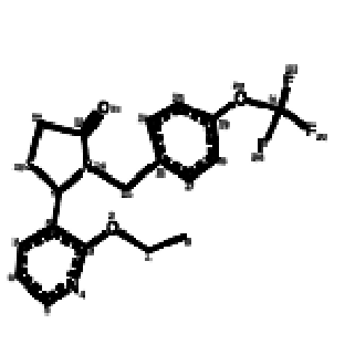 CCOc1ncccc1C1SCC(=O)N1Cc1ccc(OC(F)(F)F)cc1